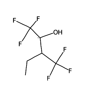 CCC([C](O)C(F)(F)F)C(F)(F)F